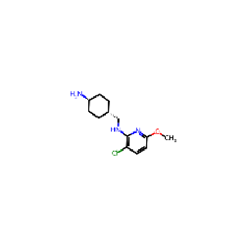 COc1ccc(Cl)c(NC[C@H]2CC[C@H](N)CC2)n1